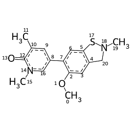 COc1cc2c(cc1-c1cc(C)c(=O)n(C)c1)SN(C)C2